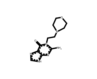 Nc1nc2[nH]cnc2c(=O)n1CCN1CCOCC1